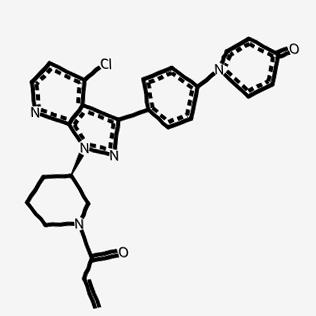 C=CC(=O)N1CCC[C@@H](n2nc(-c3ccc(-n4ccc(=O)cc4)cc3)c3c(Cl)ccnc32)C1